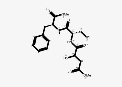 CNC(=O)[C@H](Cc1ccccc1)NC(=O)[C@H](CC(C)C)NC(=O)C(S)CC(=O)OC